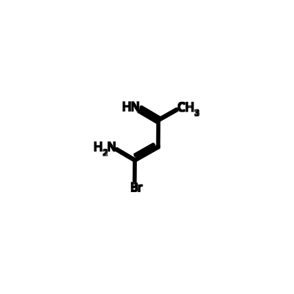 CC(=N)/C=C(\N)Br